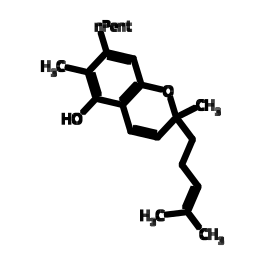 CCCCCc1cc2c(c(O)c1C)C=CC(C)(CCC=C(C)C)O2